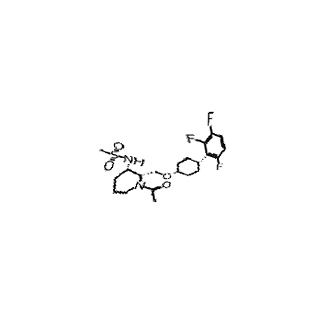 CC(=O)N1CCC[C@H](NS(C)(=O)=O)[C@@H]1CO[C@H]1CC[C@@H](c2c(F)ccc(F)c2F)CC1